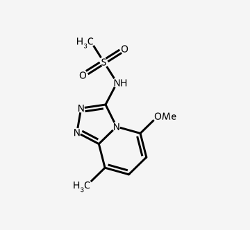 COc1ccc(C)c2nnc(NS(C)(=O)=O)n12